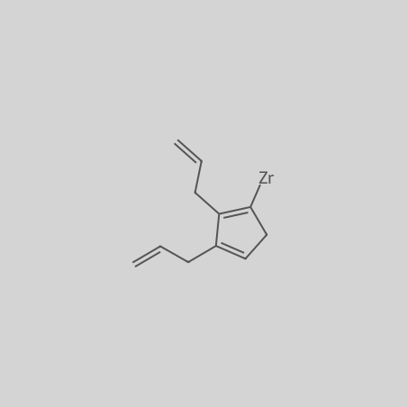 C=CCC1=CC[C]([Zr])=C1CC=C